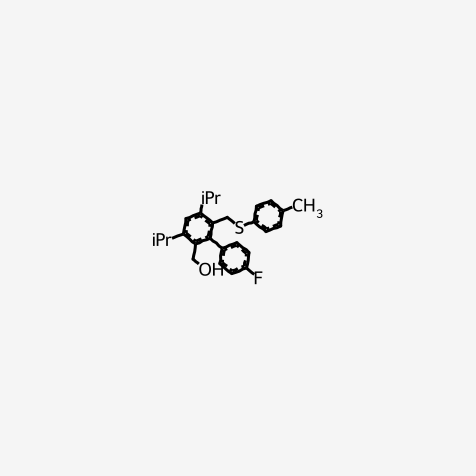 Cc1ccc(SCc2c(C(C)C)cc(C(C)C)c(CO)c2-c2ccc(F)cc2)cc1